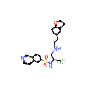 C[C@H](CNCCc1ccc2occc2c1)NS(=O)(=O)c1ccc2cnccc2c1.Cl